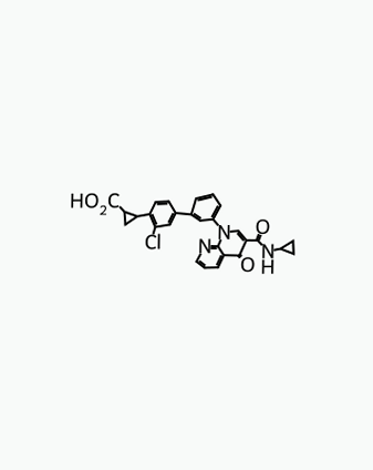 O=C(NC1CC1)c1cn(-c2cccc(-c3ccc(C4CC4C(=O)O)c(Cl)c3)c2)c2ncccc2c1=O